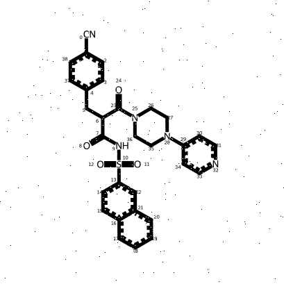 N#Cc1ccc(CC(C(=O)NS(=O)(=O)c2ccc3ccccc3c2)C(=O)N2CCN(c3ccncc3)CC2)cc1